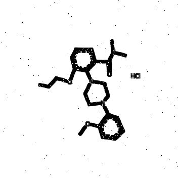 CCCOc1cccc(C(=O)N(C)C)c1N1CCN(c2ccccc2OC)CC1.Cl